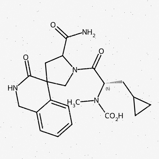 CN(C(=O)O)[C@@H](CC1CC1)C(=O)N1CC2(CC1C(N)=O)C(=O)NCc1ccccc12